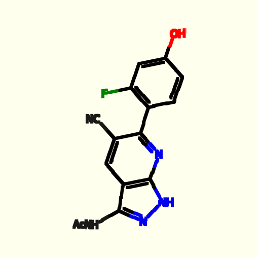 CC(=O)Nc1n[nH]c2nc(-c3ccc(O)cc3F)c(C#N)cc12